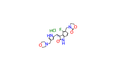 Cl.O=C1Nc2ccc(CN3CCOC3=O)c(F)c2/C1=C/c1cc(CN2CCOCC2)c[nH]1